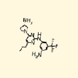 CCCc1cc(N2CC[C@H](N)C2)nc(Nc2cc(N)cc(C(F)(F)F)c2)n1